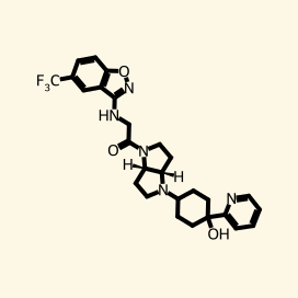 O=C(CNc1noc2ccc(C(F)(F)F)cc12)N1CC[C@H]2[C@@H]1CCN2C1CCC(O)(c2ccccn2)CC1